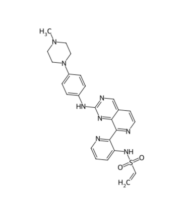 C=CS(=O)(=O)Nc1cccnc1-c1nccc2cnc(Nc3ccc(N4CCN(C)CC4)cc3)nc12